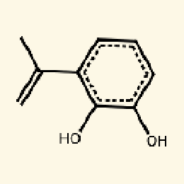 C=C(C)c1cccc(O)c1O